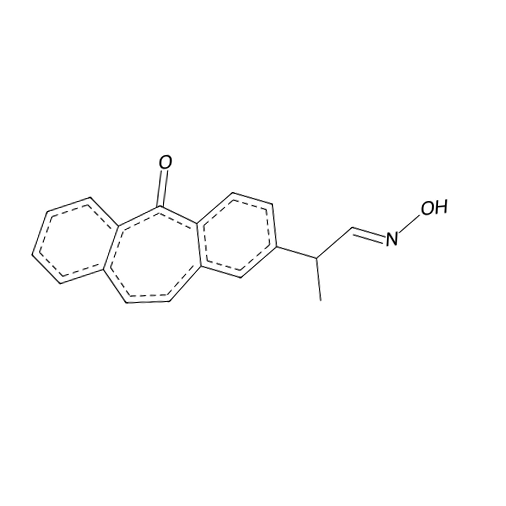 CC(/C=N/O)c1ccc2c(=O)c3ccccc3ccc2c1